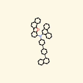 c1ccc2c(-c3ccc(-c4ccc(N(c5cc6ccccc6c6ccccc56)c5cccc6c5oc5c7ccccc7ccc65)cc4)cc3)cccc2c1